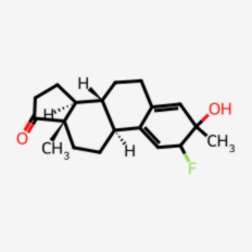 CC1(O)C=C2CC[C@@H]3[C@H](CC[C@]4(C)C(=O)CC[C@@H]34)C2=CC1F